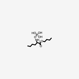 CCCCOC(=O)C(N)CCCC.O=P(O)(O)O